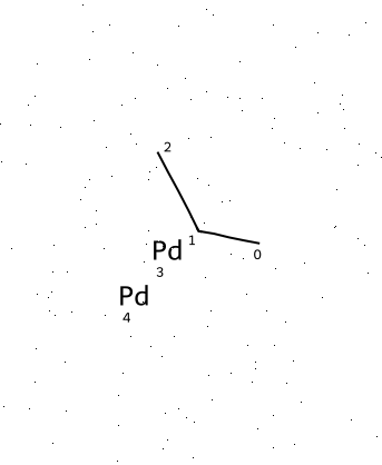 CCC.[Pd].[Pd]